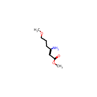 COCCCC(N)=CC(=O)OC